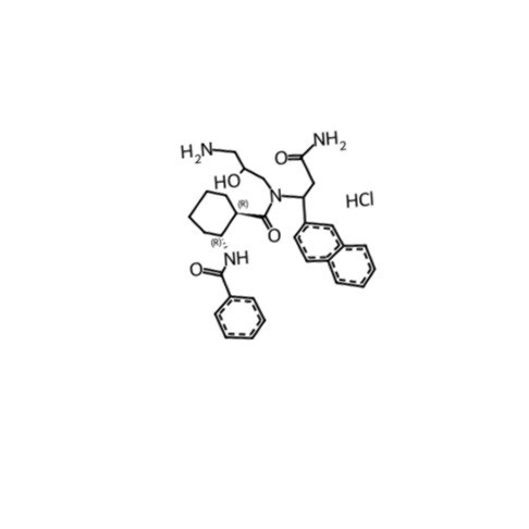 Cl.NCC(O)CN(C(=O)[C@@H]1CCCC[C@H]1NC(=O)c1ccccc1)C(CC(N)=O)c1ccc2ccccc2c1